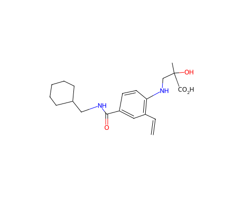 C=Cc1cc(C(=O)NCC2CCCCC2)ccc1NCC(C)(O)C(=O)O